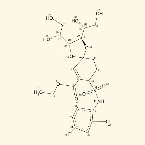 CCOC(=O)C1=CC2(CCC1S(=O)(=O)Nc1ccc(F)cc1Cl)O[C@H]([C@H](O)CO)[C@@H]([C@H](O)CO)O2